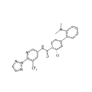 CN(C)c1ccccc1-c1ccc(C(=O)Nc2cnc(-n3nccn3)c(C(F)(F)F)c2)c(Cl)c1